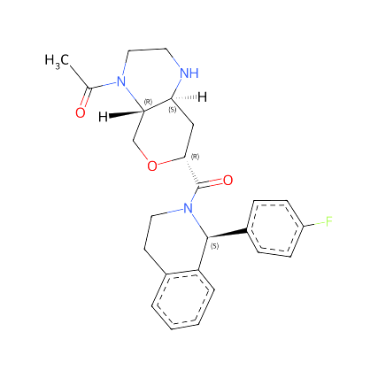 CC(=O)N1CCN[C@H]2C[C@H](C(=O)N3CCc4ccccc4[C@@H]3c3ccc(F)cc3)OC[C@@H]21